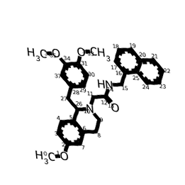 COc1ccc2c(c1)CCN(CC(=O)NCc1cccc3ccccc13)C2Cc1ccc(OC)c(OC)c1